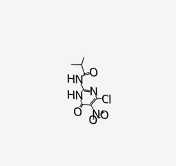 CC(C)C(=O)Nc1nc(Cl)c([N+](=O)[O-])c(=O)[nH]1